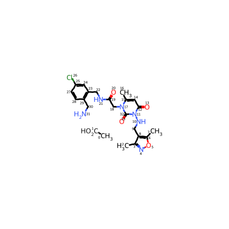 CC(=O)O.Cc1noc(C)c1CNn1c(=O)cc(C)n(CC(=O)NCc2cc(Cl)ccc2CN)c1=O